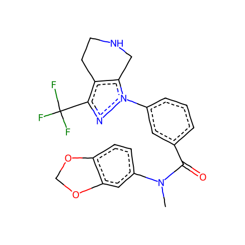 CN(C(=O)c1cccc(-n2nc(C(F)(F)F)c3c2CNCC3)c1)c1ccc2c(c1)OCO2